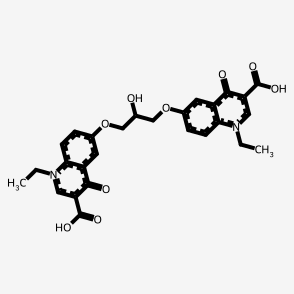 CCn1cc(C(=O)O)c(=O)c2cc(OCC(O)COc3ccc4c(c3)c(=O)c(C(=O)O)cn4CC)ccc21